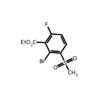 CCOC(=O)c1c(F)ccc(S(C)(=O)=O)c1Br